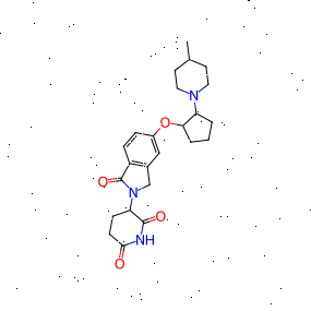 CC1CCN(C2CCCC2Oc2ccc3c(c2)CN(C2CCC(=O)NC2=O)C3=O)CC1